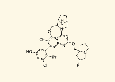 CC(C)c1c(Cl)cc(O)cc1-c1cc2nc(OC[C@@]34CCCN3C[C@H](F)C4)nc3c2c(c1Cl)OCC1C2CCC(CN31)N2